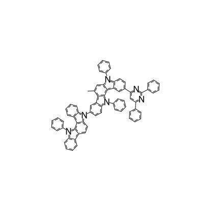 Cc1cc2c(c3cc(-c4cc(-c5ccccc5)nc(-c5ccccc5)n4)ccc3n2-c2ccccc2)c2c1c1cc(-n3c4ccccc4c4c3ccc3c5ccccc5n(-c5ccccc5)c34)ccc1n2-c1ccccc1